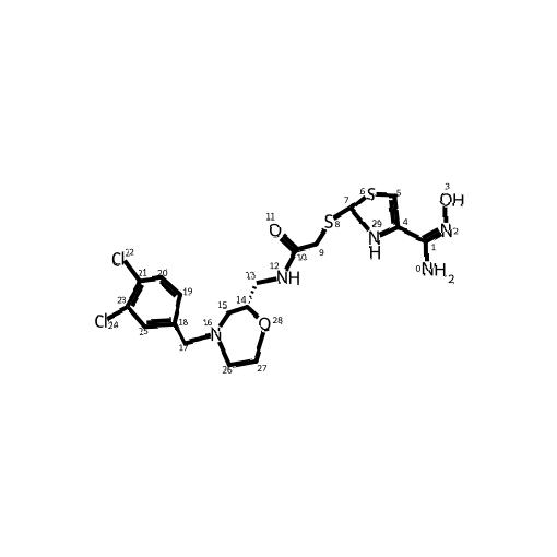 N/C(=N/O)C1=CSC(SCC(=O)NC[C@H]2CN(Cc3ccc(Cl)c(Cl)c3)CCO2)N1